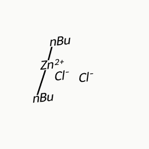 CCC[CH2][Zn+2][CH2]CCC.[Cl-].[Cl-]